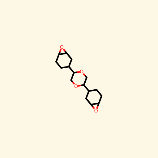 C1CC2OC2CC1C1COC(C2CCC3OC3C2)CO1